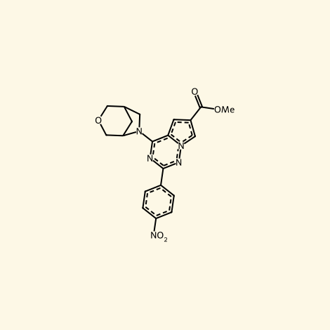 COC(=O)c1cc2c(N3CC4COCC3C4)nc(-c3ccc([N+](=O)[O-])cc3)nn2c1